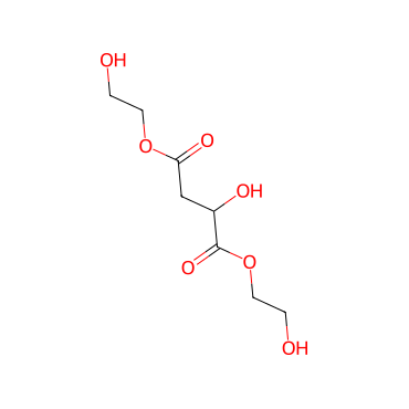 O=C(CC(O)C(=O)OCCO)OCCO